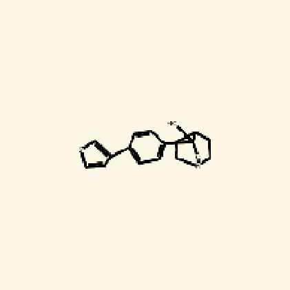 OC1(c2ccc(-c3ccsc3)cc2)CN2CCC1CC2